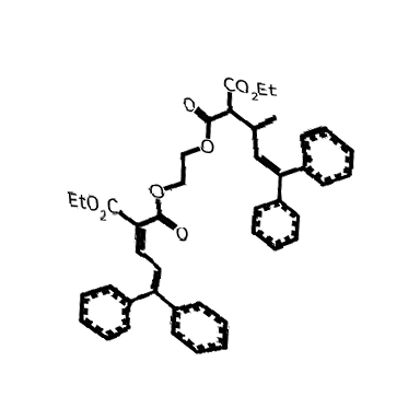 CCOC(=O)/C(=C/C=C(c1ccccc1)c1ccccc1)C(=O)OCCOC(=O)C(C(=O)OCC)C(C)C=C(c1ccccc1)c1ccccc1